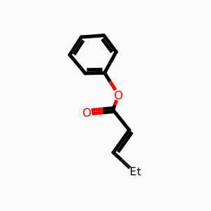 CCC=CC(=O)Oc1ccccc1